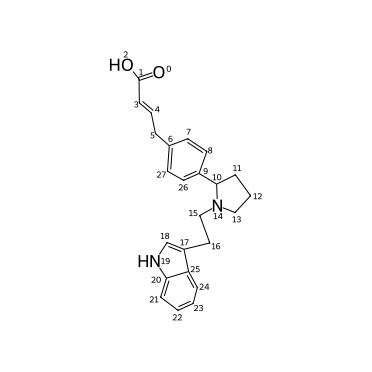 O=C(O)/C=C/Cc1ccc(C2CCCN2CCc2c[nH]c3ccccc23)cc1